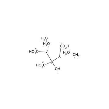 O.O.O.O.O=C(O)CC(O)(CC(=O)O)C(=O)O